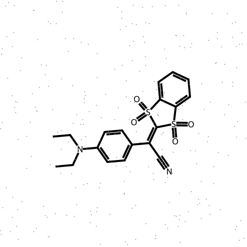 CCN(CC)c1ccc(C(C#N)=C2S(=O)(=O)c3ccccc3S2(=O)=O)cc1